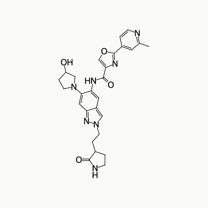 Cc1cc(-c2nc(C(=O)Nc3cc4cn(CCC5CCNC5=O)nc4cc3N3CCC(O)C3)co2)ccn1